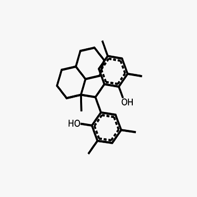 Cc1cc(C)c(O)c(C(c2cc(C)cc(C)c2O)C2(C)CCCC3CCCCC32)c1